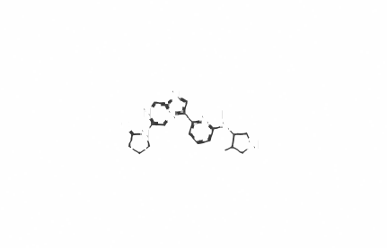 O=C1CCCN1c1cn2c(-c3cccc(NC4CNCC4F)n3)cnc2cn1